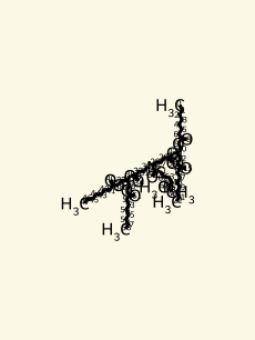 CCCCCCCC(=O)OCC(COC(=O)CCCCCCC)OC(=O)CCCN(CCCC(=O)OC(COC(=O)CCCCCCC)COC(=O)CCCCCCC)C(=O)SCCCN(C)C